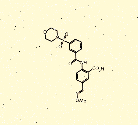 CO/N=C/c1ccc(NC(=O)c2cccc(S(=O)(=O)N3CCOCC3)c2)c(C(=O)O)c1